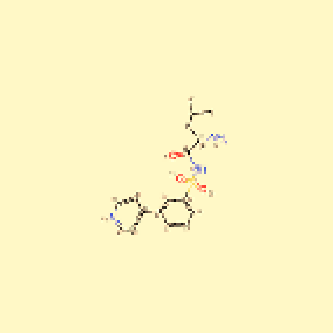 CC(C)C[C@H](N)C(=O)NS(=O)(=O)c1cccc(-c2ccncc2)c1